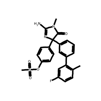 Cc1ccc(F)cc1-c1cccc(C2(c3ccc(OS(C)(=O)=O)cc3)N=C(N)N(C)C2=O)c1